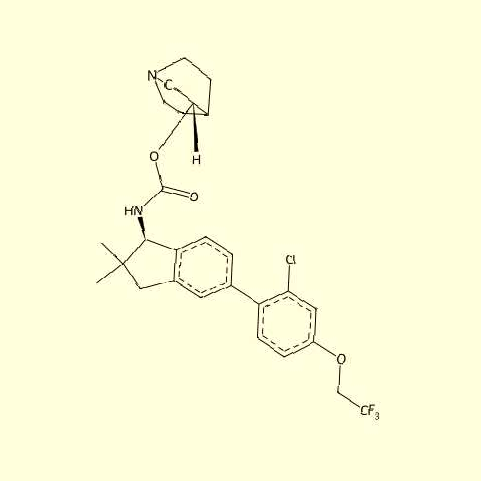 CC1(C)Cc2cc(-c3ccc(OCC(F)(F)F)cc3Cl)ccc2[C@@H]1NC(=O)O[C@@H]1CN2CCC1CC2